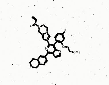 C=CC(=O)N1CCn2cc(-c3nc(-c4ccc5c(c4)CCNC5)c4ccsc4c3-c3ccc(F)cc3OCCOC)nc2C1